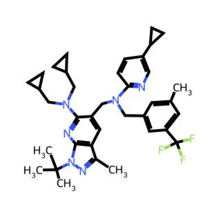 Cc1cc(CN(Cc2cc3c(C)nn(C(C)(C)C)c3nc2N(CC2CC2)CC2CC2)c2ccc(C3CC3)cn2)cc(C(F)(F)F)c1